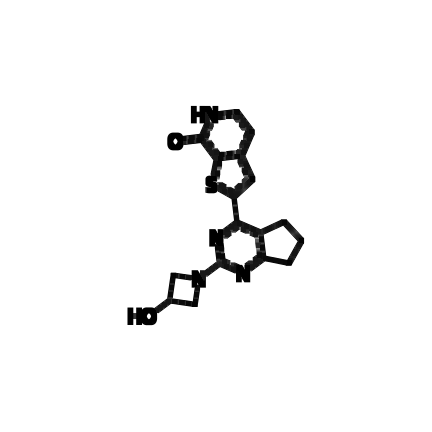 O=c1[nH]ccc2cc(-c3nc(N4CC(O)C4)nc4c3CCC4)sc12